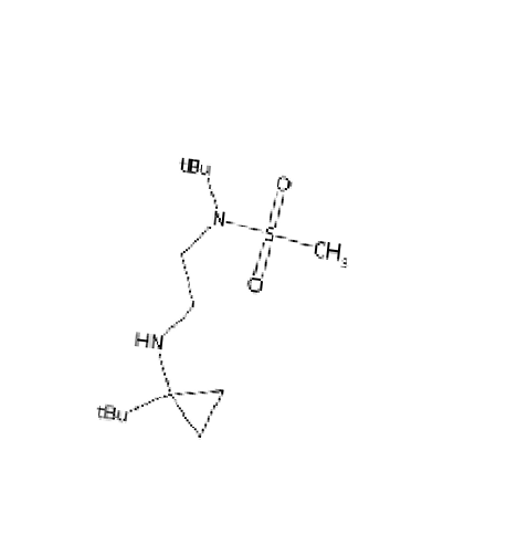 CC(C)(C)N(CCNC1(C(C)(C)C)CC1)S(C)(=O)=O